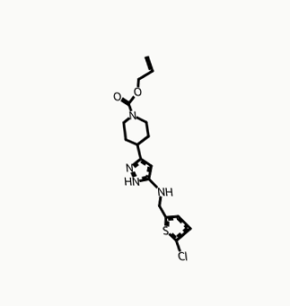 C=CCOC(=O)N1CCC(c2cc(NCc3ccc(Cl)s3)[nH]n2)CC1